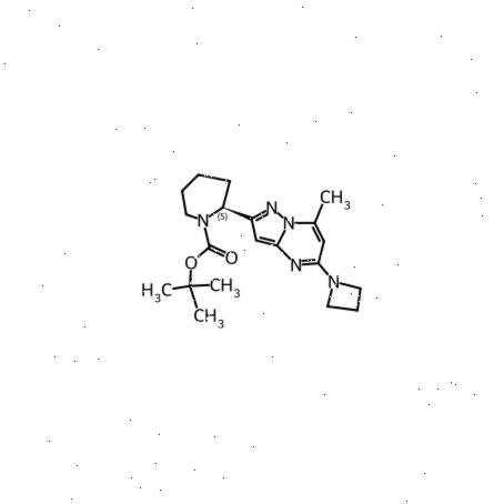 Cc1cc(N2CCC2)nc2cc([C@@H]3CCCCN3C(=O)OC(C)(C)C)nn12